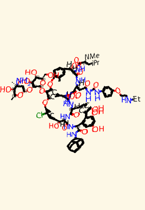 CCNCCOc1ccc(NC(=O)NC(=O)C[C@@H]2NC(=O)[C@H](NC(=O)[C@@H](CC(C)C)NC)[C@H](O)c3ccc(c(C)c3)Oc3cc4cc(c3O[C@@H]3O[C@H](CO)[C@@H](O)[C@H](O)[C@H]3O[C@H]3C[C@](C)(N)[C@H](O)[C@H](C)O3)Oc3ccc(cc3Cl)[C@@H](O)[C@@H]3NC(=O)[C@H](NC(=O)[C@@H]4NC2=O)c2ccc(O)c(c2)-c2c(O)cc(O)cc2[C@@H](C(=O)NC2C4CC5CC(C4)CC2C5)NC3=O)cc1